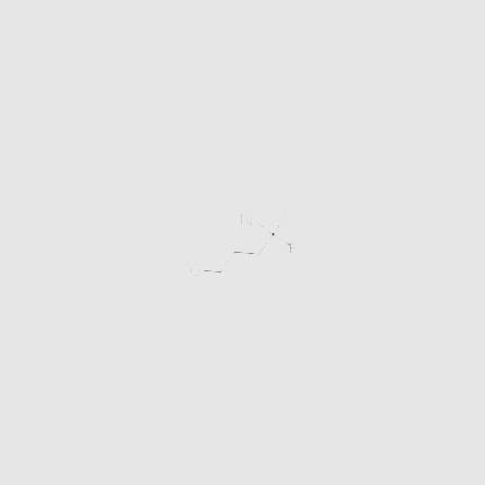 [O]CCCC(F)(F)Br